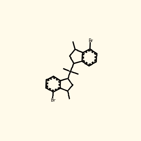 CC1CC(C(C)(C)C2CC(C)c3c(Br)cccc32)c2cccc(Br)c21